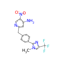 Cn1cc(C(F)(F)F)nc1-c1ccc(Cc2cc(N)c([N+](=O)[O-])cn2)cc1